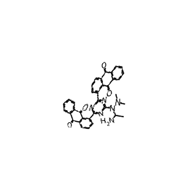 CC(N)N(c1nc(-c2cccc3c2C(=O)c2ccccc2C3=O)nc(-c2cccc3c2C(=O)c2ccccc2C3=O)n1)N(C)C